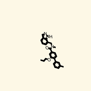 CCCOc1cc(C(=O)N(C)Cc2cccc3cn[nH]c23)ccc1-c1cccc(C)c1